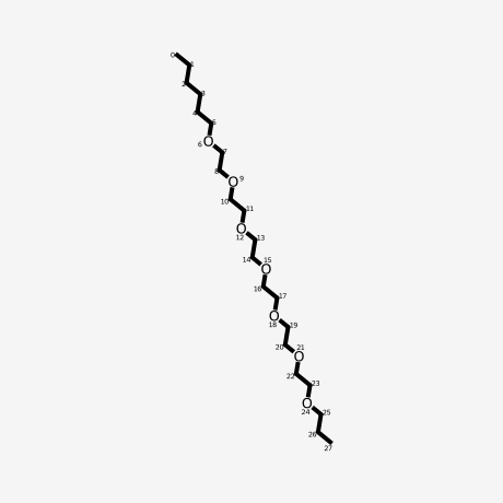 CCCCCCOCCOCCOCCOCCOCCOCCOCCC